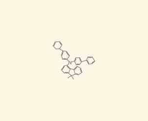 CC1(C)c2ccccc2-c2c(N(c3ccc(-c4ccccc4)cc3)c3ccc(C4C=CC=CC4)cc3)cccc21